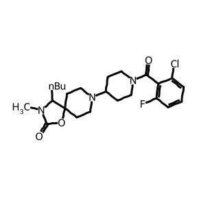 CCCCC1N(C)C(=O)OC12CCN(C1CCN(C(=O)c3c(F)cccc3Cl)CC1)CC2